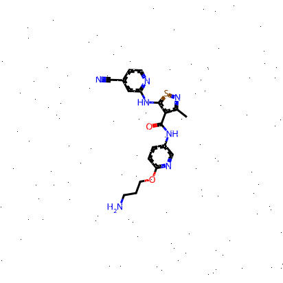 Cc1nsc(Nc2cc(C#N)ccn2)c1C(=O)Nc1ccc(OCCCN)nc1